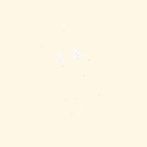 COc1c2ccccc2c(C2=NC(C)(C)C(C)(C)N2O)c2ccccc12